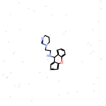 C1=NCCCN1CCNC1c2ccccc2Oc2ccccc21